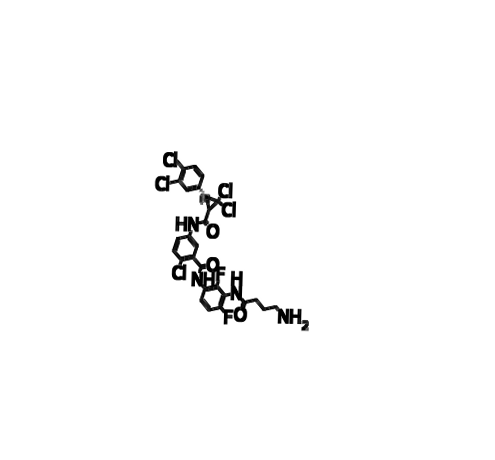 NCCCC(=O)Nc1c(F)ccc(NC(=O)c2cc(NC(=O)C3[C@H](c4ccc(Cl)c(Cl)c4)C3(Cl)Cl)ccc2Cl)c1F